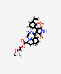 COCCOC(=O)C1Cc2cccc3c2N1C=CN=C3C1=C(c2cccc3ccoc23)C(=O)NC1=O